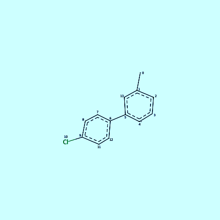 Cc1cc[c]c(-c2ccc(Cl)cc2)c1